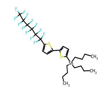 CCC[CH2][Sn]([CH2]CCC)([CH2]CCC)[c]1ccc(-c2ccc(C(F)(F)C(F)(F)C(F)(F)C(F)(F)C(F)(F)C(F)(F)F)s2)s1